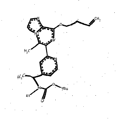 C=CCCOc1nc(-c2cc(C(C)N(CC)C(=O)OC(C)(C)C)ccn2)c(C)n2ccnc12